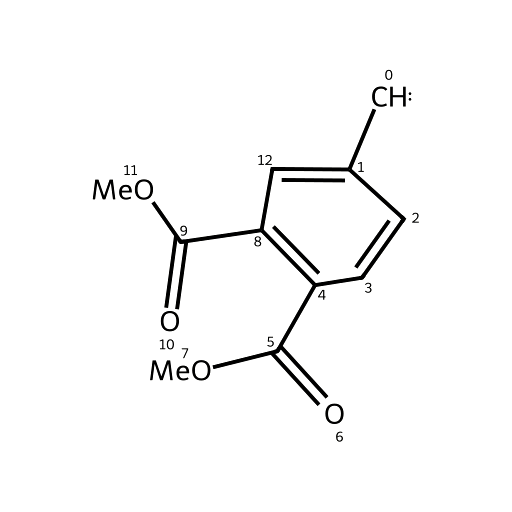 [CH]c1ccc(C(=O)OC)c(C(=O)OC)c1